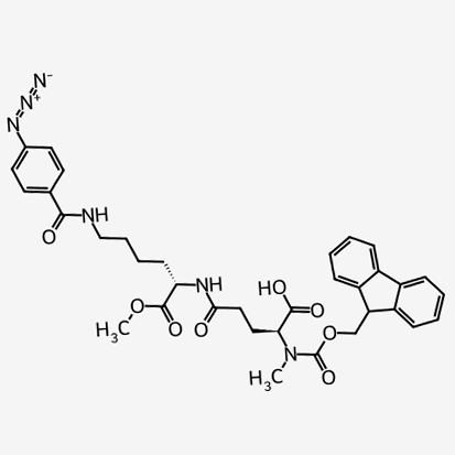 COC(=O)[C@H](CCCCNC(=O)c1ccc(N=[N+]=[N-])cc1)NC(=O)CC[C@@H](C(=O)O)N(C)C(=O)OCC1c2ccccc2-c2ccccc21